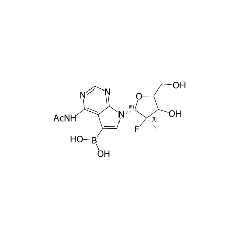 CC(=O)Nc1ncnc2c1c(B(O)O)cn2[C@@H]1OC(CO)C(O)[C@@]1(C)F